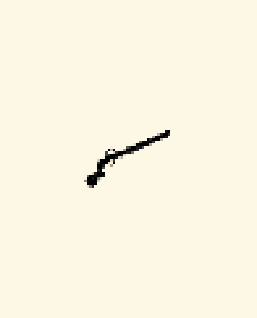 CCCCCCCCCCCCCCCCCCCCCC(=O)OCC=C(C)C=CC=C(C)C=CC1=C(C)CCCC1(C)C